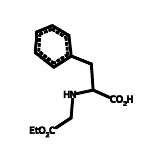 CCOC(=O)CNC(Cc1ccccc1)C(=O)O